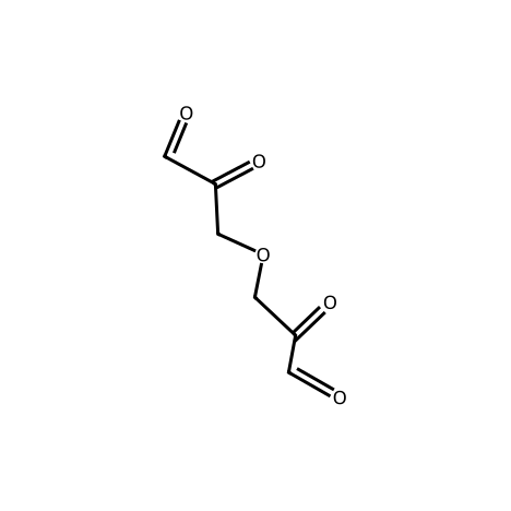 O=CC(=O)COCC(=O)C=O